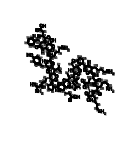 CC(C)C[C@H](NC(=O)[C@H](CCC(=O)O)NC(=O)[C@@H]1CCCN1C(=O)[C@H](CCCNC(=N)N)NC(=O)[C@@H](NC(=O)[C@H](Cc1ccc(O)cc1)NC(=O)[C@H](CCCCN)NC(=O)[C@H](CC(=O)O)NC(=O)[C@H](Cc1ccccc1)NC(=O)[C@@H](N)CC(=O)O)C(C)C)C(=O)N(C)[C@H](C(=O)N[C@@H](CO)C(=O)N1CCC[C@H]1C(=O)N[C@@H](CCCCN)C(=O)N[C@@H](CCC(=O)O)C(=O)N[C@@H](CCCCN)C(=O)N[C@@H](CCCCN)C(=O)O)C(C)(C)C